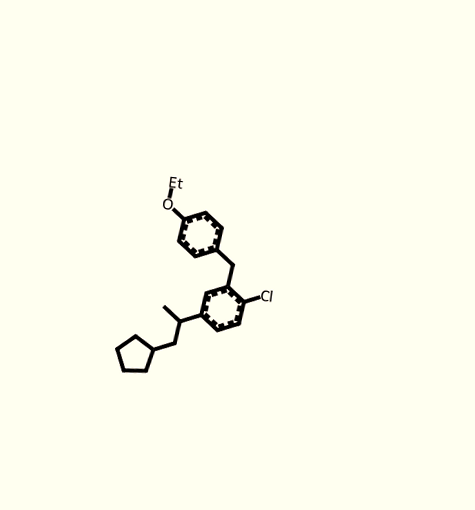 CCOc1ccc(Cc2cc(C(C)CC3CCCC3)ccc2Cl)cc1